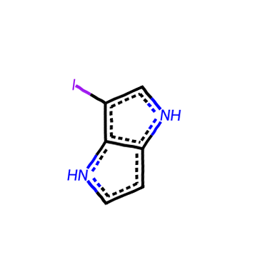 Ic1c[nH]c2cc[nH]c12